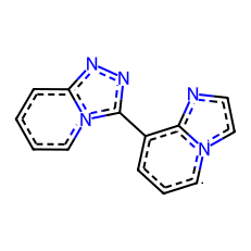 [c]1ccc(-c2nnc3ccccn23)c2nccn12